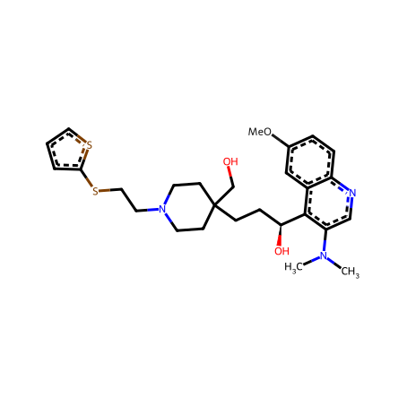 COc1ccc2ncc(N(C)C)c([C@@H](O)CCC3(CO)CCN(CCSc4cccs4)CC3)c2c1